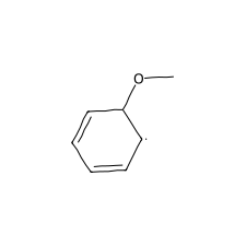 COC1[CH]C=CC=C1